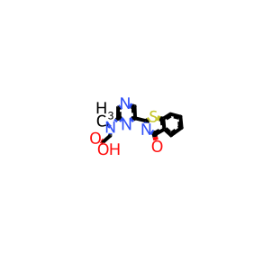 CN(CC(=O)O)c1cncc(-c2nc(=O)c3ccccc3s2)n1